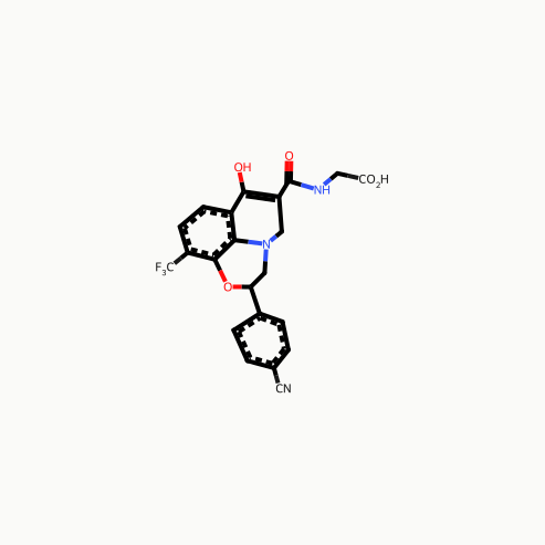 N#Cc1ccc(C2CN3CC(C(=O)NCC(=O)O)=C(O)c4ccc(C(F)(F)F)c(c43)O2)cc1